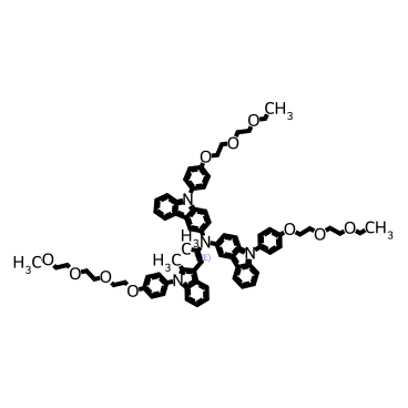 CCOCCOCCOc1ccc(-n2c3ccccc3c3cc(N(/C(C)=C/c4c(C)n(-c5ccc(OCCOCCOCCOC)cc5)c5ccccc45)c4ccc5c(c4)c4ccccc4n5-c4ccc(OCCOCCOCC)cc4)ccc32)cc1